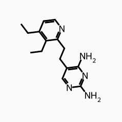 CCc1ccnc(CCc2cnc(N)nc2N)c1CC